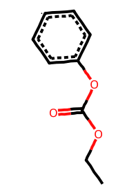 CCOC(=O)Oc1cc[c]cc1